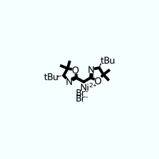 CC(C)(C)[C@H]1N=C(CC2=N[C@H](C(C)(C)C)C(C)(C)O2)OC1(C)C.[Br-].[Br-].[Ni+2]